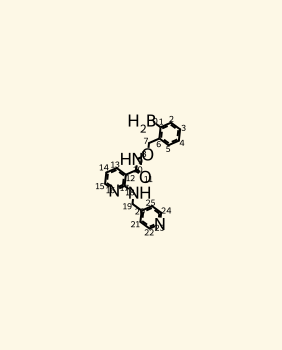 Bc1ccccc1CONC(=O)c1cccnc1NCc1ccncc1